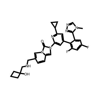 Cn1cnnc1-c1cc(F)cc(F)c1-c1cc(C2CC2)nc(-n2cc3ccc(CNCC4(O)CCC4)cn3c2=O)c1